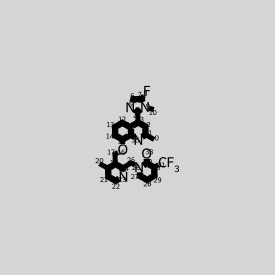 Cc1cc(-c2ncc(F)n2C)c2cccc(OCc3c(C)ccnc3Cn3cccc(C(F)(F)F)c3=O)c2n1